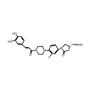 CC(=O)NC[C@H]1CN(c2ccc(N3CCN(C(=O)C=Cc4ccc(O)c(O)c4)CC3)c(F)c2)C(=O)O1